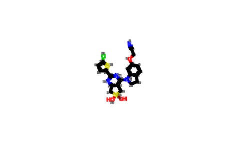 N#CCOc1ccc2c(c1)N(c1nc(-c3ccc(Cl)s3)nc3c1CS(O)(O)C3)CC2